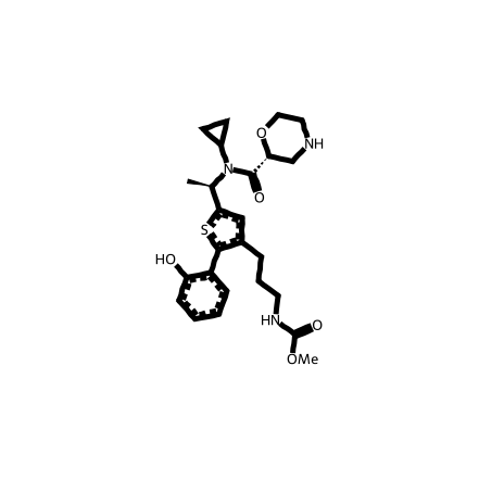 COC(=O)NCCCc1cc([C@@H](C)N(C(=O)[C@H]2CNCCO2)C2CC2)sc1-c1ccccc1O